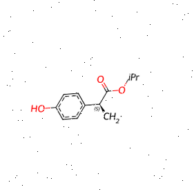 [CH2][C@H](C(=O)OC(C)C)c1ccc(O)cc1